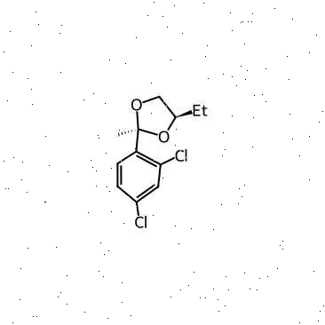 CC[C@@H]1CO[C@](C)(c2ccc(Cl)cc2Cl)O1